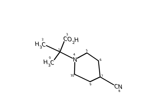 CC(C)(C(=O)O)N1CCC(C#N)CC1